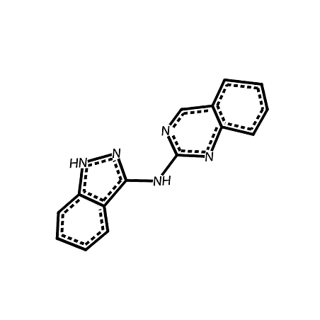 c1ccc2nc(Nc3n[nH]c4ccccc34)ncc2c1